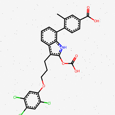 Cc1cc(C(=O)O)ccc1-c1cccc2c(CCCOc3cc(Cl)c(Cl)cc3Cl)c(OC(=O)O)[nH]c12